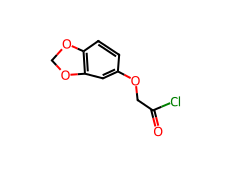 O=C(Cl)COc1ccc2c(c1)OCO2